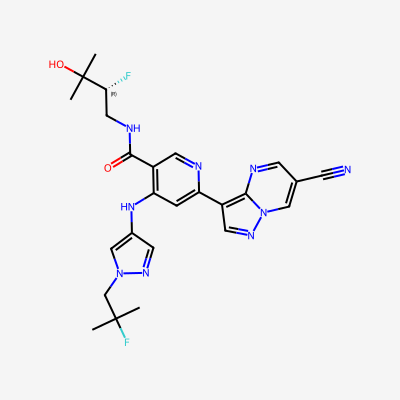 CC(C)(F)Cn1cc(Nc2cc(-c3cnn4cc(C#N)cnc34)ncc2C(=O)NC[C@@H](F)C(C)(C)O)cn1